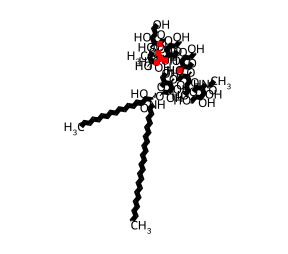 CCCCCCCCCCCCC/C=C/[C@@H](O)[C@H](CO[C@@H]1OC(CO)[C@@H](O[C@@H]2OC(CO)[C@H](O[C@@H]3OC(CO)[C@H](O)[C@H](O)C3NC(C)=O)[C@H](O[C@H]3OC(CO)[C@H](O)[C@H](O[C@@H]4OC(CO)[C@@H](O[C@@H]5OC(CO)[C@H](O)[C@H](O)C5O)[C@H](O[C@H]5OC(C)[C@@H](O)C(O)[C@@H]5O)C4NC(C)=O)C3O)C2O)[C@H](O)C1O)NC(=O)CCCCCCCCCCCCCCCCCCCCCCCCC